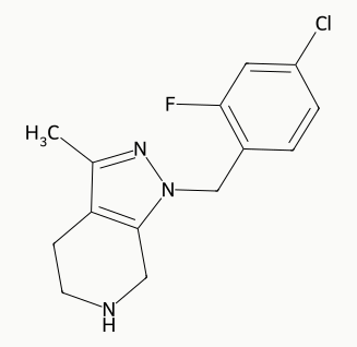 Cc1nn(Cc2ccc(Cl)cc2F)c2c1CCNC2